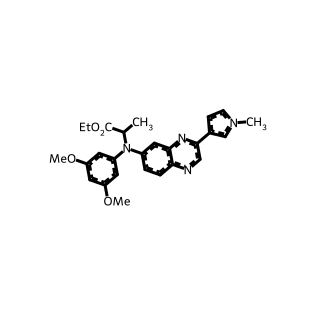 CCOC(=O)C(C)N(c1cc(OC)cc(OC)c1)c1ccc2ncc(-c3ccn(C)c3)nc2c1